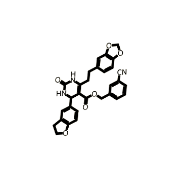 N#Cc1cccc(COC(=O)C2=C(CCc3ccc4c(c3)OCO4)NC(=O)NC2c2ccc3c(c2)CCO3)c1